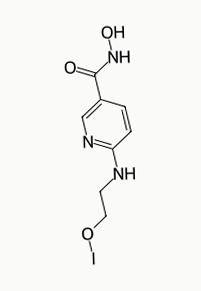 O=C(NO)c1ccc(NCCOI)nc1